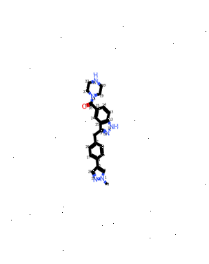 Cn1cc(-c2ccc(Cc3n[nH]c4ccc(C(=O)N5CCNCC5)cc34)cc2)cn1